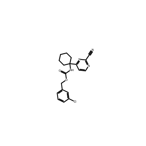 N#Cc1nccc(C2(NC(=O)OCc3cccc(Cl)c3)CCCCC2)n1